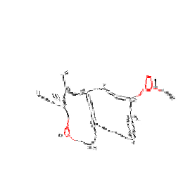 COc1ccc2c(c1)C(C)C(C)OC2